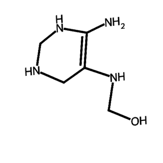 NC1=C(NCO)CNCN1